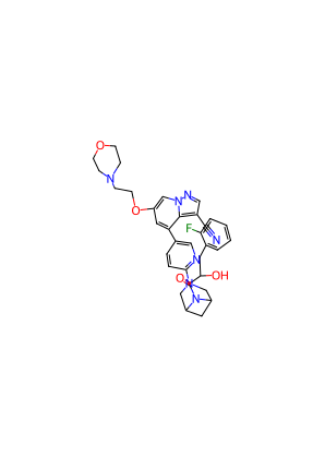 N#Cc1cnn2cc(OCCN3CCOCC3)cc(-c3ccc(N4CC5CC(C4)N5C(=O)C(O)Cc4ccccc4F)nc3)c12